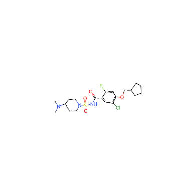 CN(C)C1CCN(S(=O)(=O)NC(=O)c2cc(Cl)c(OCC3CCCC3)cc2F)CC1